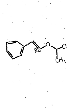 CC(C)[O][Ru]=[CH]c1ccccc1